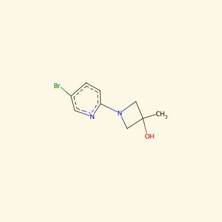 CC1(O)CN(c2ccc(Br)cn2)C1